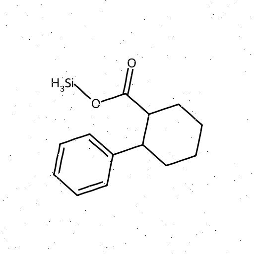 O=C(O[SiH3])C1CCCCC1c1ccccc1